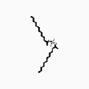 CCCCCCCCCCCC(C)OP(F)(=S)OC(C)CCCCCCCCCCC